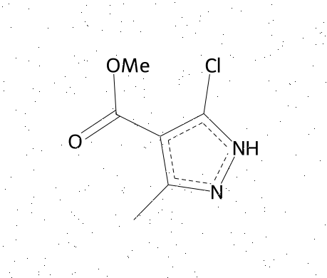 COC(=O)c1c(C)n[nH]c1Cl